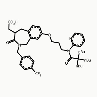 CCCCC(CCCC)(CCCC)C(=O)N(CCCOc1ccc2c(c1)CN(Cc1ccc(C(F)(F)F)cc1)C(=O)C(CC(=O)O)C2)c1ccccn1